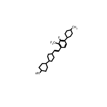 CCCC1CCC(C2CCC(/C=C/c3ccc(C4CCC(C)CC4)c(F)c3C(F)(F)F)CC2)CC1